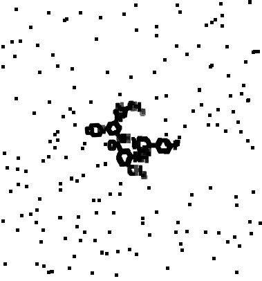 Cc1cn(-c2cc(NC(=O)c3ccc(C)c(Nc4nccc(-c5ccc(F)cc5)n4)c3)cc(N3CCOCC3)c2)cn1